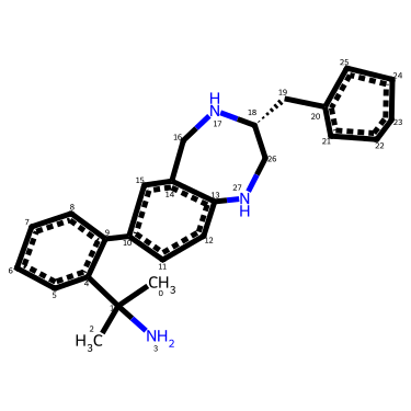 CC(C)(N)c1ccccc1-c1ccc2c(c1)CN[C@H](Cc1ccccc1)CN2